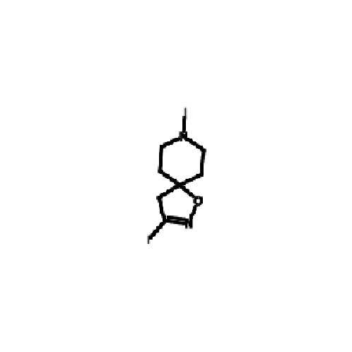 IC1=NOC2(CCN(I)CC2)C1